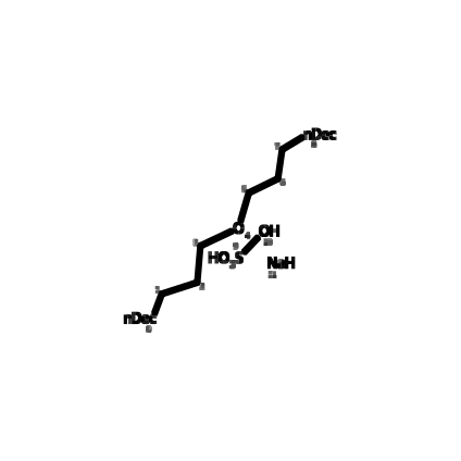 CCCCCCCCCCCCCOCCCCCCCCCCCCC.O=S(=O)(O)O.[NaH]